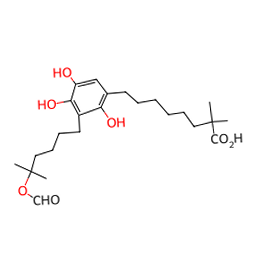 CC(C)(CCCCc1c(O)c(O)cc(CCCCCCC(C)(C)C(=O)O)c1O)OC=O